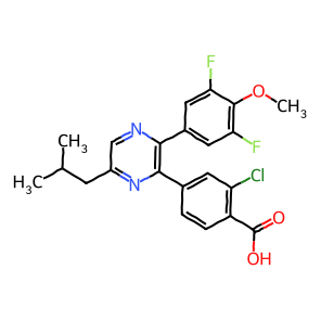 COc1c(F)cc(-c2ncc(CC(C)C)nc2-c2ccc(C(=O)O)c(Cl)c2)cc1F